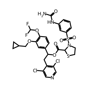 NC(=O)Nc1cccc(S(=O)(=O)N2CCSC2C(=O)OC(Cc2c(Cl)cncc2Cl)c2ccc(OC(F)F)c(OCC3CC3)c2)c1